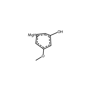 COc1cccc(O)c1.[MgH2]